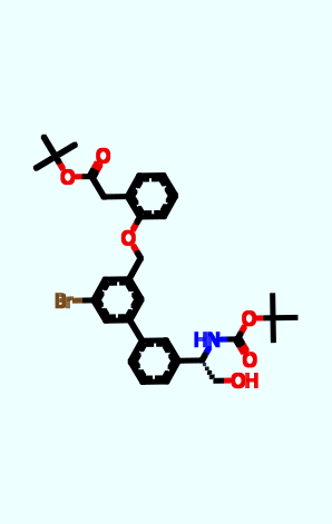 CC(C)(C)OC(=O)Cc1ccccc1OCc1cc(Br)cc(-c2cccc([C@@H](CO)NC(=O)OC(C)(C)C)c2)c1